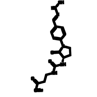 COC(=O)CCNC(=O)N[C@H]1CCN(c2ccc(C=NNO)cc2)C1=O